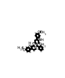 C=C1c2[nH]c3cc(OC)ccc3c2CCN1C(c1ccccc1)N1CCc2c([nH]c3cc(OC)ccc23)C1=C